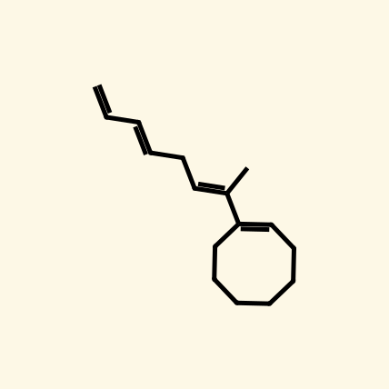 C=CC=CCC=C(C)C1=CCCCCCC1